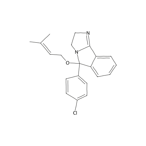 CC(C)=CCOC1(c2ccc(Cl)cc2)c2ccccc2C2=NCCN21